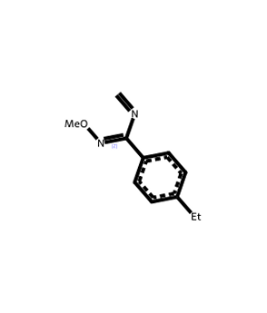 C=N/C(=N\OC)c1ccc(CC)cc1